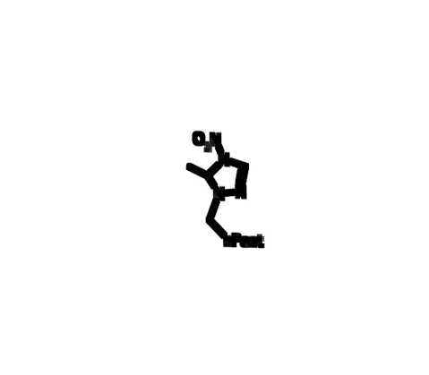 CCCCCCN1N=CN([N+](=O)[O-])C1C